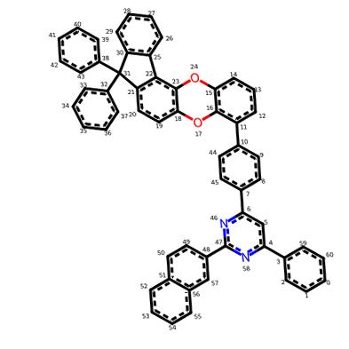 c1ccc(-c2cc(-c3ccc(-c4cccc5c4Oc4ccc6c(c4O5)-c4ccccc4C6(c4ccccc4)c4ccccc4)cc3)nc(-c3ccc4ccccc4c3)n2)cc1